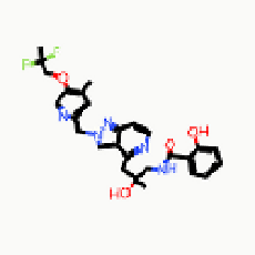 Cc1cc(Cn2cc3c(CC(C)(O)CNC(=O)c4ccccc4O)nccc3n2)ncc1OCC(C)(F)F